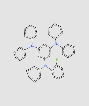 Fc1ccccc1N(c1ccccc1)c1cc(N(c2ccccc2)c2ccccc2)cc(N(c2ccccc2)c2ccccc2)c1